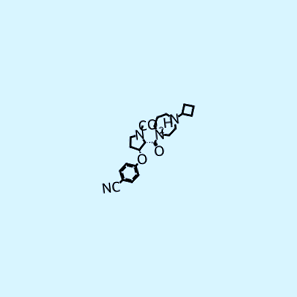 N#Cc1ccc(O[C@@H]2CCN(C(=O)O)[C@@H]2C(=O)N2CCCN(C3CCC3)CC2)cc1